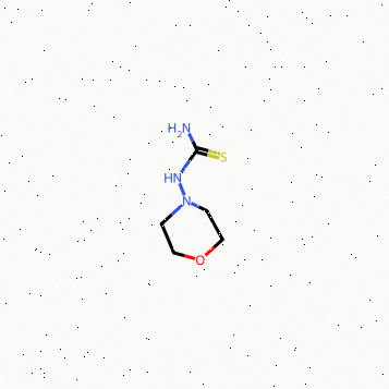 NC(=S)NN1CCOCC1